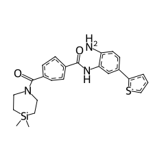 C[Si]1(C)CCN(C(=O)c2ccc(C(=O)Nc3cc(-c4cccs4)ccc3N)cc2)CC1